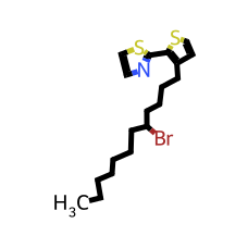 CCCCCCCC(Br)CCCCc1ccsc1-c1nccs1